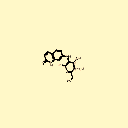 O=c1ccc2ccc(NC3C(O)OC(CO)[C@@H](O)[C@@H]3O)cc2[nH]1